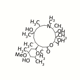 CO[C@]1(C)CC([C@H]2[C@H](C)C[C@](C)(O)C[C@@H](C)CN(C)[C@H](C)[C@@H](O)[C@](C)(O)[C@@H](I)OC(=O)[C@@H]2C)O[C@@H](C)[C@@H]1O